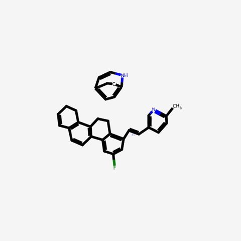 C1=CC2=CC=C(CC2)N1.Cc1ccc(/C=C/c2cc(F)cc3c2CCc2c-3ccc3c2CCC=C3)cn1